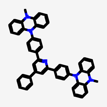 CN1c2ccccc2N(c2ccc(-c3cc(-c4ccccc4)cc(-c4ccc(N5c6ccccc6N(C)c6ccccc65)cc4)n3)cc2)c2ccccc21